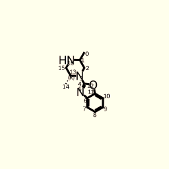 CC1CN(c2nc3ccccc3o2)[C@H](C)CN1